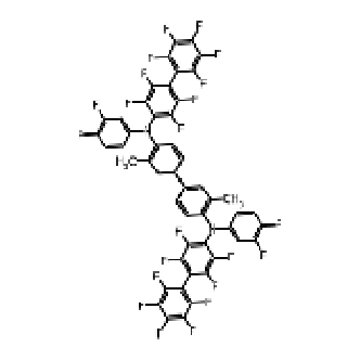 CC1=C(N(c2ccc(F)c(F)c2)c2c(F)c(F)c(-c3c(F)c(F)c(F)c(F)c3F)c(F)c2F)C=CC(c2ccc(N(c3ccc(F)c(F)c3)c3c(F)c(F)c(-c4c(F)c(F)c(F)c(F)c4F)c(F)c3F)c(C)c2)C1